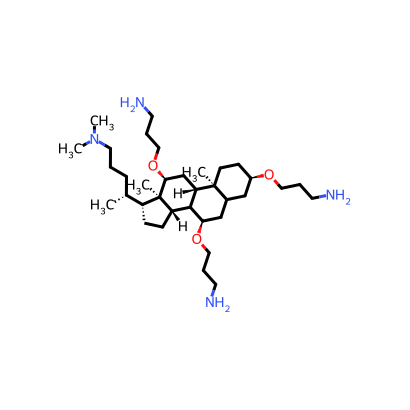 C[C@H](CCCN(C)C)[C@H]1CC[C@H]2C3[C@H](OCCCN)CC4C[C@H](OCCCN)CC[C@]4(C)[C@H]3C[C@H](OCCCN)[C@]12C